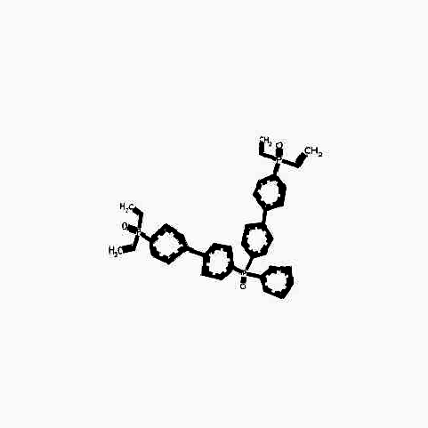 C=CP(=O)(C=C)c1ccc(-c2ccc(P(=O)(c3ccccc3)c3ccc(-c4ccc(P(=O)(C=C)C=C)cc4)cc3)cc2)cc1